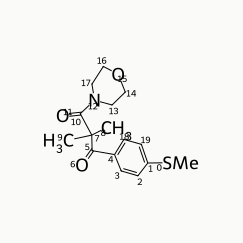 CSc1ccc(C(=O)C(C)(C)C(=O)N2CCOCC2)cc1